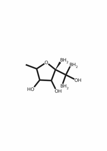 BC(B)(O)[C@@]1(B)OC(C)C(O)C1O